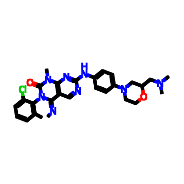 C/N=c1/c2cnc(Nc3ccc(N4CCOC(CN(C)C)C4)cc3)nc2n(C)c(=O)n1-c1c(C)cccc1Cl